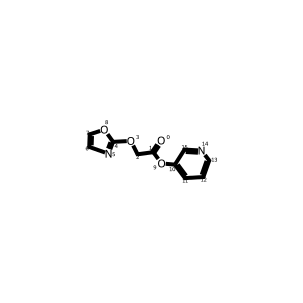 O=C(COc1ncco1)Oc1cccnc1